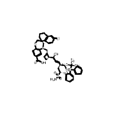 C[C@@H](C[C@@H](/C=C/[C@H](O)[C@@H]1CC[C@H]1CN1C[C@@]2(CCCc3cc(Cl)ccc32)COc2ccc(C(=O)O)cc21)CO[Si](c1ccccc1)(c1ccccc1)C(C)(C)C)S(N)(=O)=O